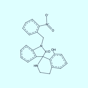 O=C1N(Cc2ccccc2[N+](=O)[O-])c2ccccc2C12NCCc1cccc(O)c12